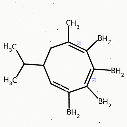 BC1=CC(C(C)C)C/C(C)=C(B)\C(B)=C/1B